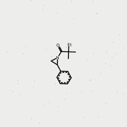 CCC(C)(C)C(=O)N1CC1c1ccccc1